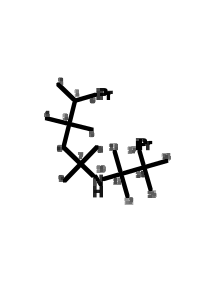 CC(C)C(C)C(C)(C)CC(C)(C)NC(C)(C)C(C)(C)C(C)C